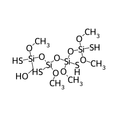 CO[Si](S)(CO)O[Si](S)(OC)O[Si](S)(OC)O[Si](S)(OC)OC